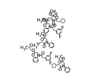 CC(C)COC(=O)CN(C(=O)Cc1cc(F)cc(F)c1)c1ccccc1.COC(=O)CN(C(=O)CC1CC1)c1ccccc1.COC(=O)CN(C(=O)CC1CCCC1)c1ccccc1.COC(=O)CN(C(=O)Cc1cc(F)cc(F)c1)c1ccccc1.COC(=O)[C@H](C)NC(=O)CC1CCCC1